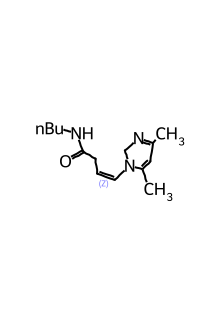 CCCCNC(=O)C/C=C\N1CN=C(C)C=C1C